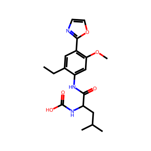 CCc1cc(-c2ncco2)c(OC)cc1NC(=O)C(CC(C)C)NC(=O)O